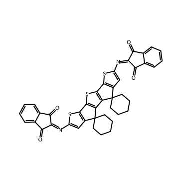 O=c1c(=Nc2cc3c(s2)-c2sc4c(c2C32CCCCC2)C2(CCCCC2)c2cc(N=c3c(=O)c5ccccc5c3=O)sc2-4)c(=O)c2ccccc12